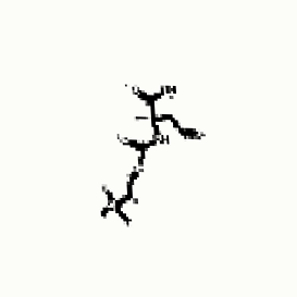 C[C@@](CC=O)(NC(=O)OCC[Si](C)(C)C)C(=O)O